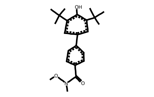 CON(C)C(=O)c1ccc(-c2cc(C(C)(C)C)c(O)c(C(C)(C)C)c2)cc1